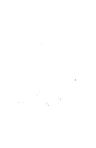 Cc1nnc(O)c2cc(Cl)ccc12